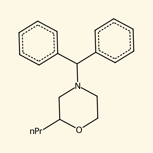 CCCC1CN(C(c2ccccc2)c2ccccc2)CCO1